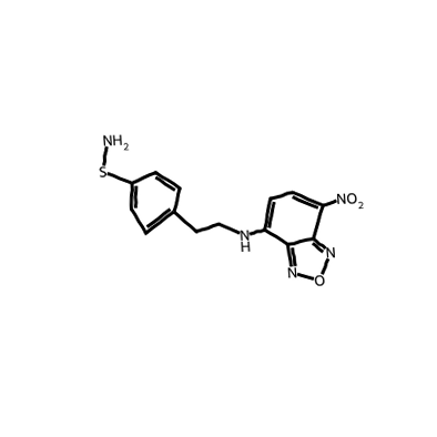 NSc1ccc(CCNc2ccc([N+](=O)[O-])c3nonc23)cc1